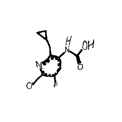 O=C(O)Nc1cc(F)c(Cl)nc1C1CC1